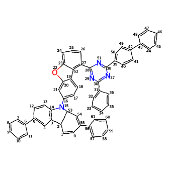 C1=CC2c3cc(-c4ccccc4)ccc3N(c3ccc4c(c3)oc3cccc(-c5nc(-c6ccccc6)nc(-c6ccc(-c7ccccc7)cc6)n5)c34)C2C=C1c1ccccc1